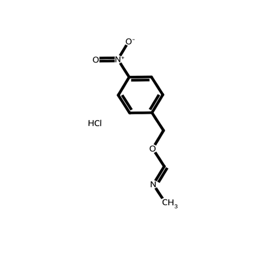 CN=COCc1ccc([N+](=O)[O-])cc1.Cl